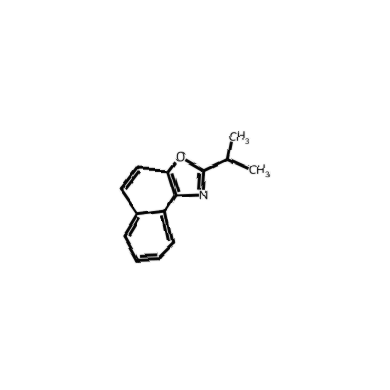 CC(C)c1nc2c(ccc3ccccc32)o1